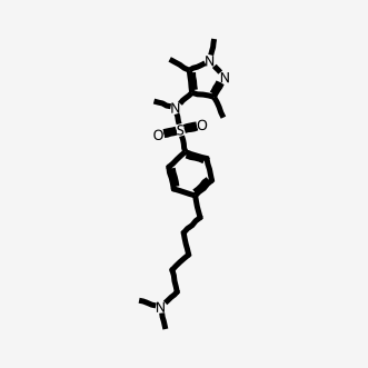 Cc1nn(C)c(C)c1N(C)S(=O)(=O)c1ccc(CCCCCN(C)C)cc1